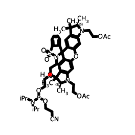 CC(=O)OCCN1c2cc3c(cc2C(C)(C)[C@@H]1C)C1(c2cc4c(cc2O3)N(CCOC(C)=O)[C@@H](C)C4(C)C)c2ccccc2S(=O)(=O)N1CCOCCOP(OCCC#N)N(C(C)C)C(C)C